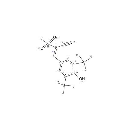 CC(C)(C)c1cc(/C=C(\C#N)S(C)(=O)=O)cc(C(C)(C)C)c1O